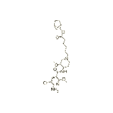 COc1nc(N)c(Cl)cc1C(=O)N[C@@H]1CCN(CCCCCC(=O)OC2CC3CCC2C3)C[C@@H]1OC